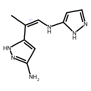 C/C(=C/Nc1ccn[nH]1)c1cc(N)n[nH]1